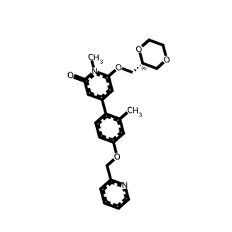 Cc1cc(OCc2ccccn2)ccc1-c1cc(OC[C@H]2COCCO2)n(C)c(=O)c1